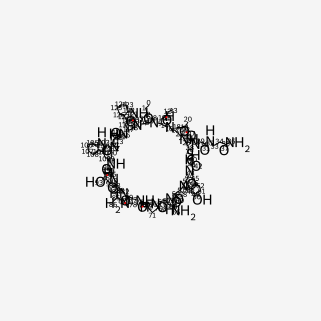 CCCC[C@H]1C(=O)N(C)[C@@H](CCCC)C(=O)N[C@@H](CC(C)C)C(=O)N[C@H](C(=O)NCC(=O)NCCC(N)=O)CSCC(=O)N[C@@H](Cc2ccc(O)cc2)C(=O)N(C)[C@@H](C)C(=O)N[C@@H](CC(N)=O)C(=O)N2CCC[C@H]2C(=O)N[C@@H](CN)C(=O)N[C@@H](CC(C)C)C(=O)N2C[C@H](O)C[C@H]2C(=O)N[C@@H](Cc2c[nH]c3ccccc23)C(=O)NCC(=O)NC(Cc2c[nH]c3ccccc23)C(=O)N1C